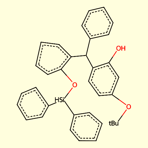 CC(C)(C)Oc1ccc(C(c2ccccc2)c2ccccc2O[SiH](c2ccccc2)c2ccccc2)c(O)c1